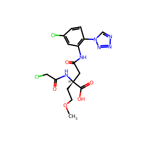 COCC[C@](CC(=O)Nc1cc(Cl)ccc1-n1cnnn1)(NC(=O)CCl)C(=O)O